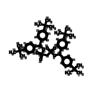 CC(C)(C)c1ccc([I+](OS(=O)(=O)CS(=O)(=O)O[I+](c2ccc(C(C)(C)C)cc2)c2ccc(C(C)(C)C)cc2)c2ccc(C(C)(C)C)cc2)cc1